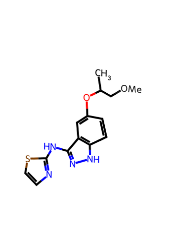 COCC(C)Oc1ccc2[nH]nc(Nc3nccs3)c2c1